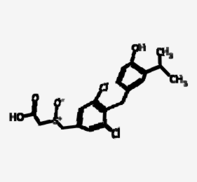 CC(C)c1cc(Cc2c(Cl)cc(C[S+]([O-])CC(=O)O)cc2Cl)ccc1O